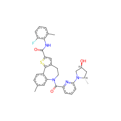 Cc1ccc2c(c1)N(C(=O)c1cccc(N3C[C@@H](O)C[C@@H]3C)n1)CCc1cc(C(=O)Nc3c(C)cccc3F)sc1-2